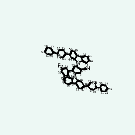 N#Cc1cc(-n2c3ccccc3c3ccc(-c4ccc(-c5ccccc5)nc4)cc32)c(-c2cc(F)cc(F)c2)cc1-n1c2ccccc2c2ccc(-c3ccc(-c4ccccc4)nc3)cc21